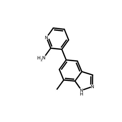 Cc1cc(-c2cccnc2N)cc2cn[nH]c12